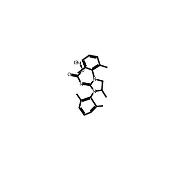 Cc1cccc(C)c1N1CC(C)N(c2c(C)cccc2C)C1=NC(=O)OC(C)(C)C